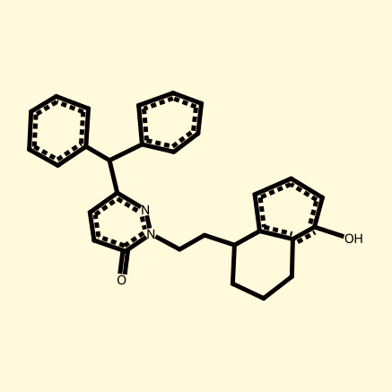 O=c1ccc(C(c2ccccc2)c2ccccc2)nn1CCC1CCCc2c(O)cccc21